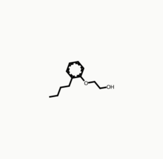 CCCCc1ccccc1OCCO